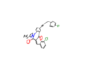 CN1C(=O)/C(=C/c2cccc(Cl)c2)C(=O)c2cc(C#CCc3ccc(F)cc3)ccc21